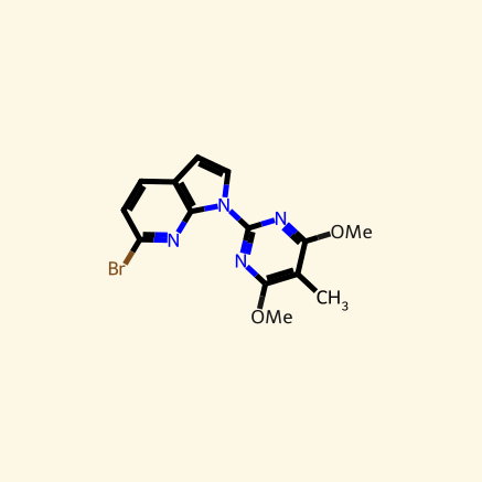 COc1nc(-n2ccc3ccc(Br)nc32)nc(OC)c1C